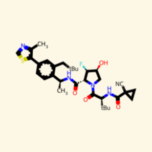 Cc1ncsc1-c1ccc([C@H](C)NC(=O)[C@@H]2[C@@H](F)[C@@H](O)CN2C(=O)[C@@H](NC(=O)C2(C#N)CC2)C(C)(C)C)c(CC(C)(C)C)c1